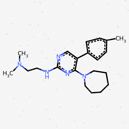 Cc1ccc(-c2cnc(NCCN(C)C)nc2N2CCCCCC2)cc1